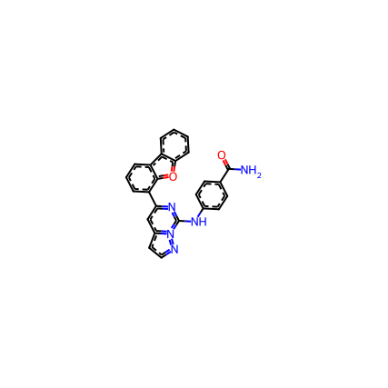 NC(=O)c1ccc(Nc2nc(-c3cccc4c3oc3ccccc34)cc3ccnn23)cc1